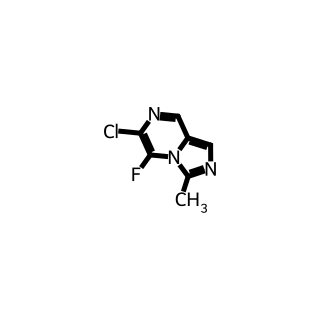 Cc1ncc2cnc(Cl)c(F)n12